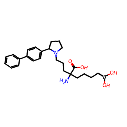 NC(CCCCB(O)O)(CCCN1CCCC1c1ccc(-c2ccccc2)cc1)C(=O)O